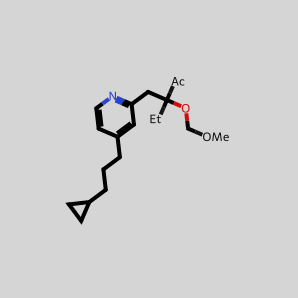 CCC(Cc1cc(CCCC2CC2)ccn1)(OCOC)C(C)=O